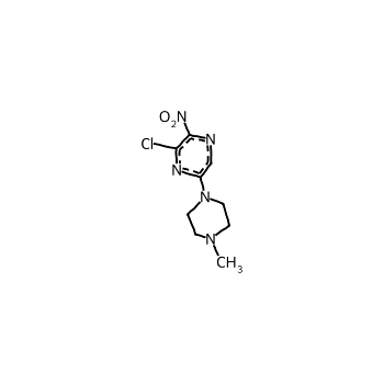 CN1CCN(c2cnc([N+](=O)[O-])c(Cl)n2)CC1